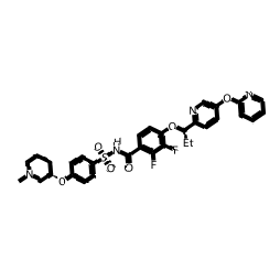 CC[C@@H](Oc1ccc(C(=O)NS(=O)(=O)c2ccc(O[C@H]3CCCN(C)C3)cc2)c(F)c1F)c1ccc(Oc2ccccn2)cn1